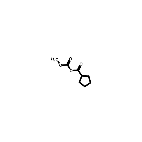 COC(=O)OC(=O)C1CCCC1